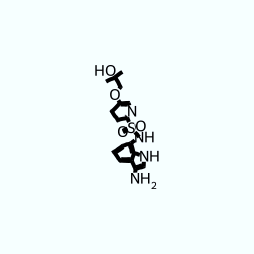 CC(C)(O)COC1=CN=C(S(=O)(=O)Nc2cccc3c(N)c[nH]c23)CC1